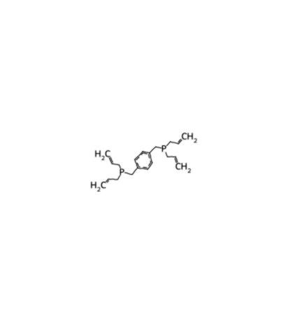 C=CCP(CC=C)Cc1ccc(CP(CC=C)CC=C)cc1